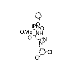 COC(=O)C(Cc1cncn1Cc1cc(Cl)cc(Cl)c1)NC(CC(C)C)C(=O)OCc1ccccc1